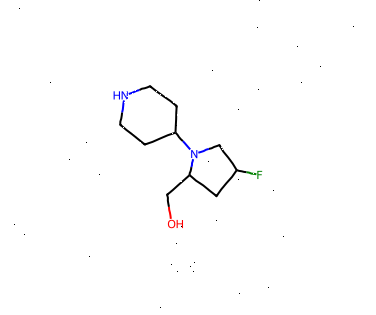 OCC1CC(F)CN1C1CCNCC1